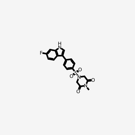 CN1C(=O)CN(S(=O)(=O)c2ccc(-c3c[nH]c4cc(F)ccc34)cc2)CC1=O